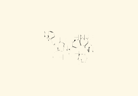 C=C(c1cc2c(cc1C)[nH]c(=O)c1cnn(C3CCOCC3)c12)N1CCN(Cc2cccnn2)[C@@H](CC)C1